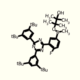 CB(OC(C)(C)C(C)(C)O)c1ccc(F)c(-c2nc(-c3cc(C(C)(C)C)cc(C(C)(C)C)c3)nc(-c3cc(C(C)(C)C)cc(C(C)(C)C)c3)n2)c1